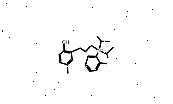 Cc1ccc(O)c(CCC[N+](c2ccccc2C)(C(C)C)C(C)C)c1.[I-]